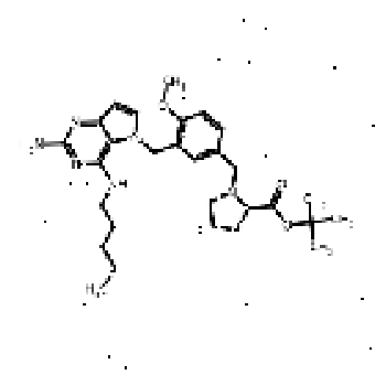 CCCCCNc1nc(N)nc2ccn(Cc3cc(CN4CCCC4C(=O)OC(C)(C)C)ccc3OC)c12